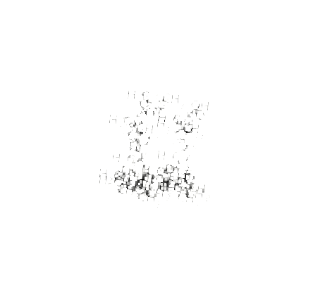 C=C1C(=CC=C2CCC[C@]3(C)C([C@H](C)OCC(=O)O)=CCC23)C[C@@H](O[Si](C)(C)C(C)(C)C)C[C@@H]1O[Si](C)(C)C(C)(C)C.C=C1C(=CC=C2CCC[C@]3(C)C([C@H](C)OCC(=O)OC(C)(CCC)CCC)=CC[C@@H]23)C[C@@H](O[Si](C)(C)C(C)(C)C)C[C@@H]1O[Si](C)(C)C(C)(C)C